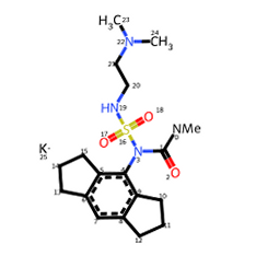 CNC(=O)N(c1c2c(cc3c1CCC3)CCC2)S(=O)(=O)NCCN(C)C.[K]